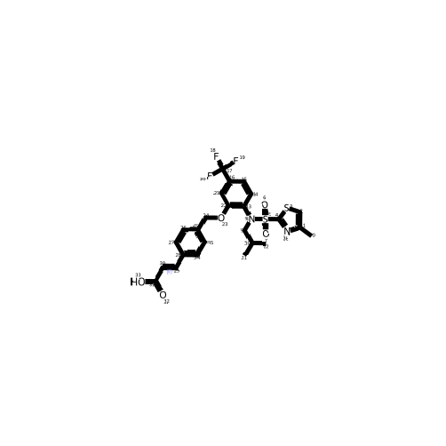 Cc1csc(S(=O)(=O)N(CC(C)C)c2ccc(C(F)(F)F)cc2OCc2ccc(/C=C/C(=O)O)cc2)n1